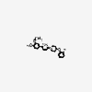 COc1cc(-c2ccc(N3CCC(Oc4ccccc4F)CC3)nn2)ccc1O